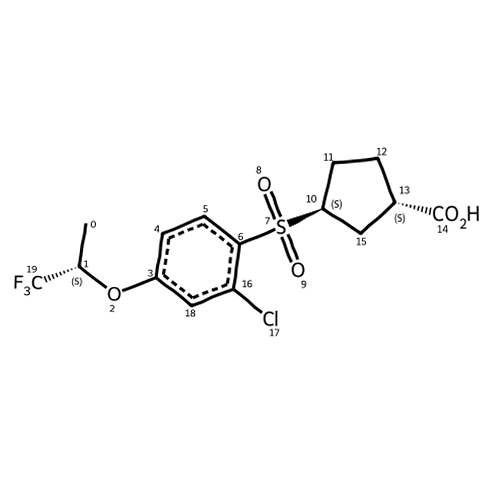 C[C@H](Oc1ccc(S(=O)(=O)[C@H]2CC[C@H](C(=O)O)C2)c(Cl)c1)C(F)(F)F